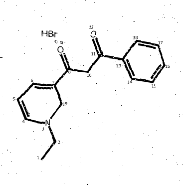 Br.CCN1C=CC=C(C(=O)CC(=O)c2ccccc2)C1